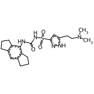 CN(C)CCc1cc(S(=O)(=O)NC(=O)Nc2c3c(cc4c2CCC4)CCC3)n[nH]1